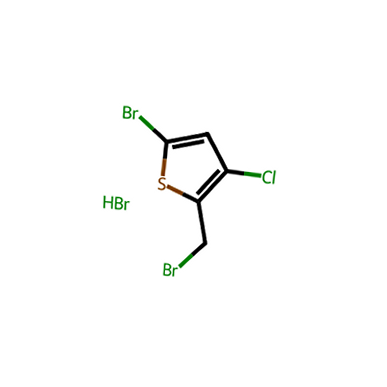 Br.Clc1cc(Br)sc1CBr